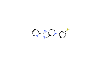 CSc1cccc(N2CCc3nc(-c4ccccn4)ncc3C2)c1